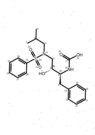 CC(C)CN(C[C@@H](O)[C@H](Cc1ccccc1)NC(=O)O)S(=O)(=O)c1ccccc1